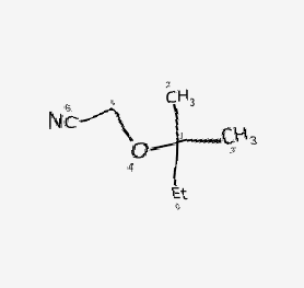 CCC(C)(C)OCC#N